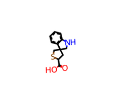 O=C(O)C1CC2(CNc3ccccc32)CS1